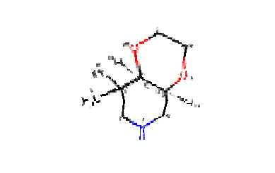 CC(C)C1(C)CNC[C@@H]2OCCO[C@@H]21